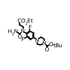 CCOC(=O)CCN(C(N)=O)c1c(F)cc(N2CCN(C(=O)OC(C)(C)C)CC2)cc1F